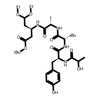 CCOC(C[C@H](CC(=O)OC(C)(C)C)NC(=O)[C@H](C)NC(=O)[C@@H](NC(=O)[C@H](Cc1ccc(O)cc1)NC(=O)C(C)O)C(C)CC)OCC